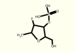 CC1OC(CO)C(OP(=O)(O)O)C1F